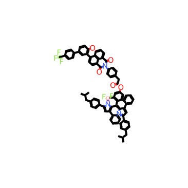 Cc1cc(OC(=O)Cc2ccc(-n3c(=O)c4ccc5oc6ccc(-c7ccc(C(F)(F)F)cc7)cc6c6ccc(c3=O)c4c56)cc2)cc(C)c1/C(=C1/N=C(c2ccc(CC(C)C)cc2)C=C1c1ccccc1)c1c(-c2ccccc2)cc(-c2ccc(CC(C)C)cc2)n1B(F)F